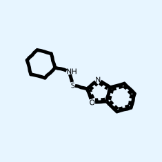 c1ccc2oc(SNC3CCCCC3)nc2c1